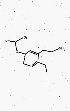 CCCC(CCC)OC1C=C(CCN)C(CI)=CC1